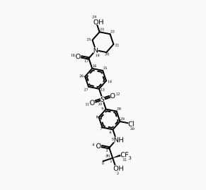 C[C@@](O)(C(=O)Nc1ccc(S(=O)(=O)c2ccc(C(=O)N3CCCC(O)C3)cc2)cc1Cl)C(F)(F)F